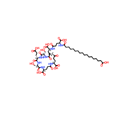 CC(=O)CC[C@H](NC(=O)CC[C@H](NC(=O)[C@H](CO)NC(=O)[C@H](CCC(=O)O)NC(=O)[C@H](CO)NC(=O)CC[C@H](NC(=O)CCC(NC(=O)CCCCCCCCCCCCCCCCC(=O)O)C(=O)O)C(=O)O)C(=O)O)C(=O)O